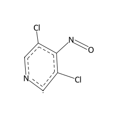 O=Nc1c(Cl)[c]ncc1Cl